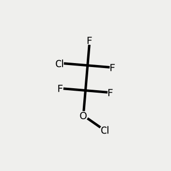 FC(F)(Cl)C(F)(F)OCl